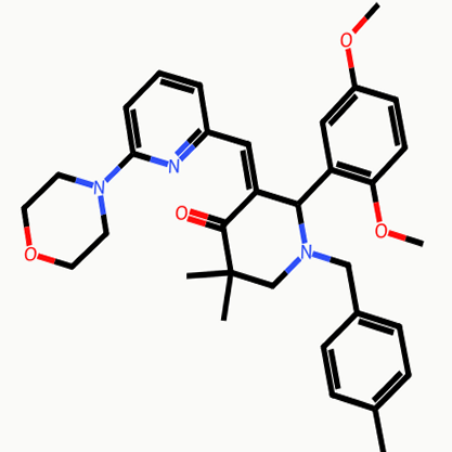 COc1ccc(OC)c(C2C(=Cc3cccc(N4CCOCC4)n3)C(=O)C(C)(C)CN2Cc2ccc(C)cc2)c1